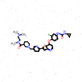 CN(C)CCN(C)C(=O)C1CCCN(Cc2ccc(-c3cc4nccc(Oc5ccc(NC(=O)NC6CC6)cc5F)c4s3)nc2)C1